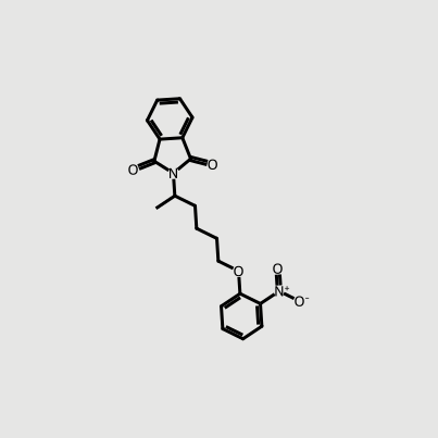 CC(CCCCOc1ccccc1[N+](=O)[O-])N1C(=O)c2ccccc2C1=O